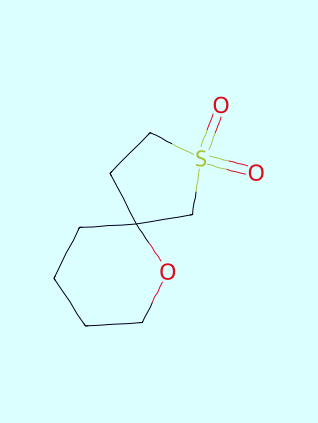 O=S1(=O)CCC2(CCCCO2)C1